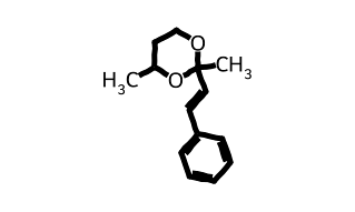 CC1CCOC(C)(C=Cc2ccccc2)O1